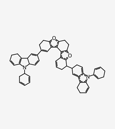 C1=CCC(N2C3=C(CCC=C3)C3C=C(C4=Cc5c(oc6c5-c5c(oc7c5C=CCC7C5C=c7c8c(n(C9=CCCC=C9)c7=CC5)C=CCC8)CC6)CC4)C=CC32)C=C1